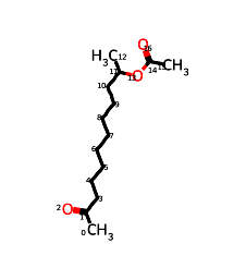 CC(=O)CCCCCCCCC(C)OC(C)=O